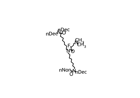 CCCCCCCCCCN(CCCCCCCCN(CCCCCCCC(=O)N(CCCCCCCCCC)CCCCCCCCCC)C(=O)C(F)CCN(C)C)C(=O)CCCCCCCCC